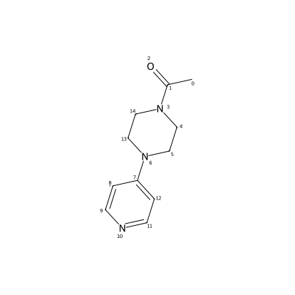 CC(=O)N1CCN(c2[c]cncc2)CC1